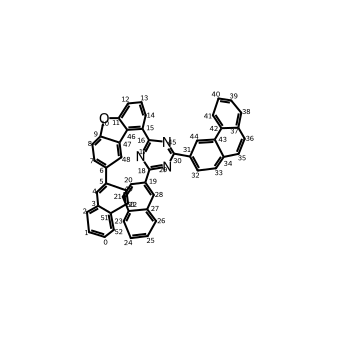 c1ccc2cc(-c3ccc4oc5cccc(-c6nc(-c7ccc8ccccc8c7)nc(-c7ccc8ccc9ccccc9c8c7)n6)c5c4c3)ccc2c1